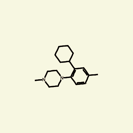 Cc1[c]cc(N2CCN(C)CC2)c(C2CCCCC2)c1